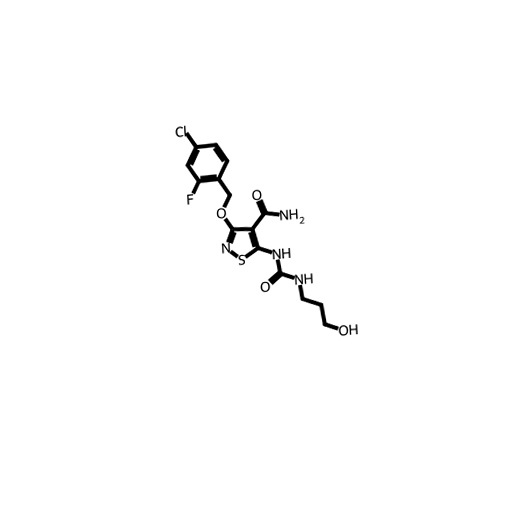 NC(=O)c1c(OCc2ccc(Cl)cc2F)nsc1NC(=O)NCCCO